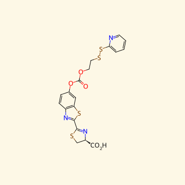 O=C(OCCSSc1ccccn1)Oc1ccc2nc(C3=N[C@@H](C(=O)O)CS3)sc2c1